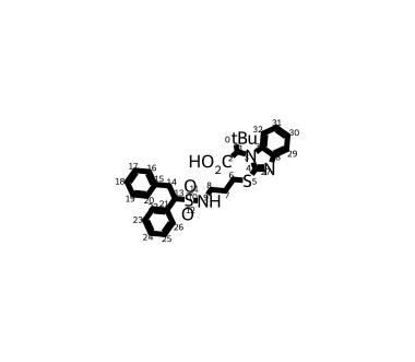 CC(C)(C)C(C(=O)O)n1c(SCCCNS(=O)(=O)C(Cc2ccccc2)c2ccccc2)nc2ccccc21